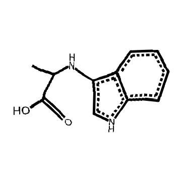 CC(Nc1c[nH]c2ccccc12)C(=O)O